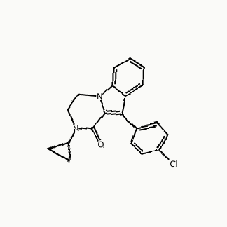 O=C1c2c(-c3ccc(Cl)cc3)c3ccccc3n2CCN1C1CC1